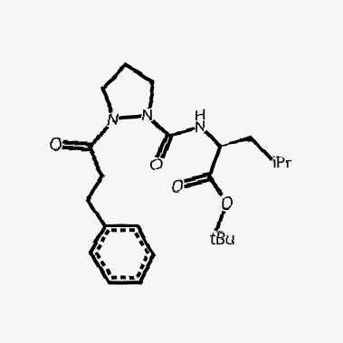 CC(C)C[C@H](NC(=O)N1CCCN1C(=O)CCc1ccccc1)C(=O)OC(C)(C)C